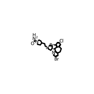 NC(=O)N1CCC(CCN2CCC([C@H]3c4ncc(Br)cc4CCc4cc(Cl)cc(Br)c43)CC2)CC1